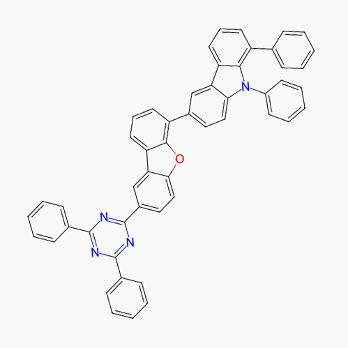 c1ccc(-c2nc(-c3ccccc3)nc(-c3ccc4oc5c(-c6ccc7c(c6)c6cccc(-c8ccccc8)c6n7-c6ccccc6)cccc5c4c3)n2)cc1